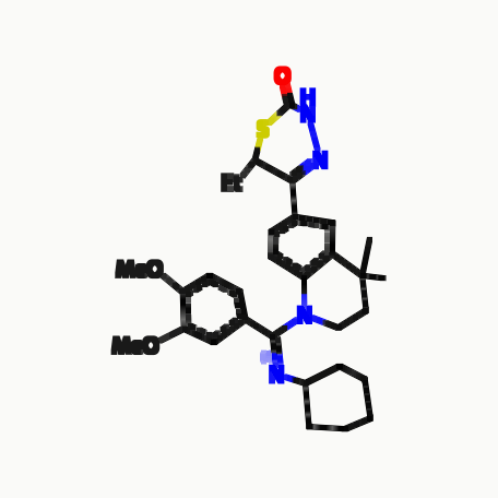 CCC1SC(=O)NN=C1c1ccc2c(c1)C(C)(C)CCN2/C(=N\C1CCCCC1)c1ccc(OC)c(OC)c1